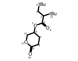 CC(C)(C)CC(C(=O)OC1CCC(=O)OC1)C(C)(C)C